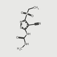 CCS(=O)(=O)c1nsc(NC(=O)NC)c1C#N